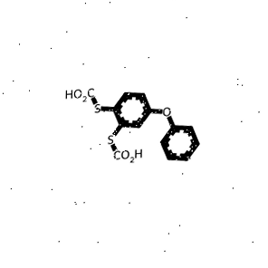 O=C(O)Sc1ccc(Oc2cc[c]cc2)cc1SC(=O)O